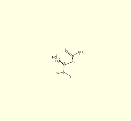 CC(C)[C@@H](N)CC(N)=O.Cl